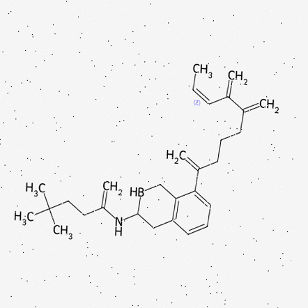 C=C(CCC(C)(C)C)NC1BCc2c(cccc2C(=C)CCCC(=C)C(=C)/C=C\C)C1